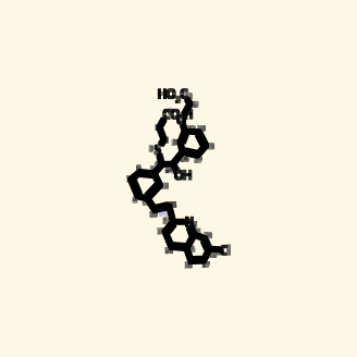 O=C(O)CCSC(c1cccc(/C=C/c2ccc3ccc(Cl)cc3n2)c1)C(O)c1cccc(OCC(=O)O)c1